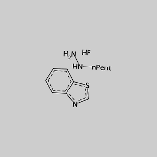 CCCCCNN.F.c1ccc2scnc2c1